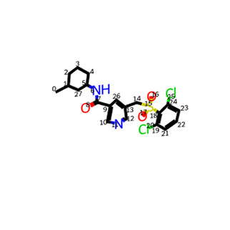 CC1CCCC(NC(=O)c2cncc(CS(=O)(=O)c3c(Cl)cccc3Cl)c2)C1